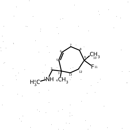 CNCC1(C)C=CCCC(C)(F)CC1